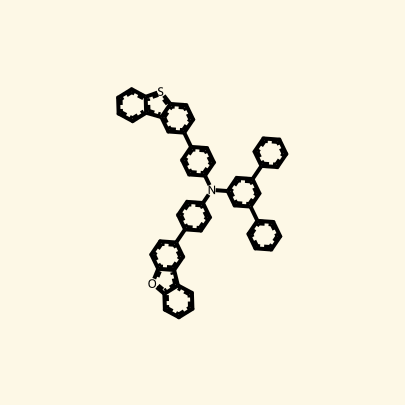 c1ccc(-c2cc(-c3ccccc3)cc(N(c3ccc(-c4ccc5oc6ccccc6c5c4)cc3)c3ccc(-c4ccc5sc6ccccc6c5c4)cc3)c2)cc1